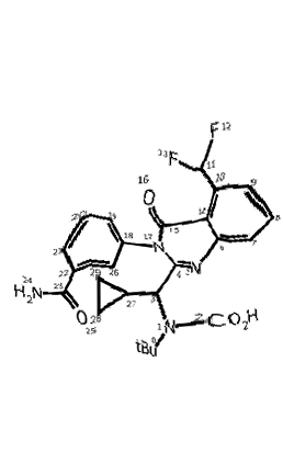 CC(C)(C)N(C(=O)O)C(c1nc2cccc(C(F)F)c2c(=O)n1-c1cccc(C(N)=O)c1)C1CC1